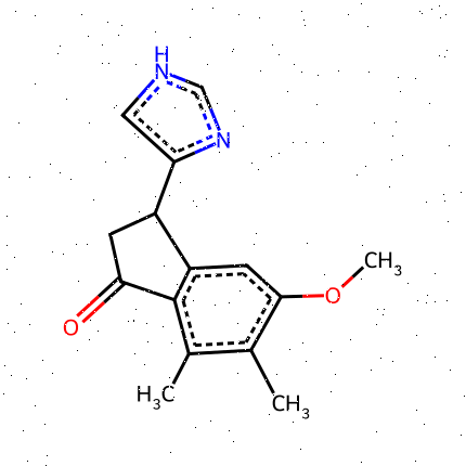 COc1cc2c(c(C)c1C)C(=O)CC2c1c[nH]cn1